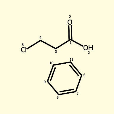 O=C(O)CCCl.c1ccccc1